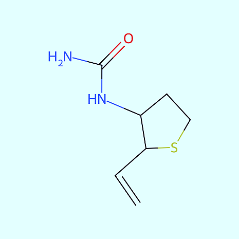 C=CC1SCCC1NC(N)=O